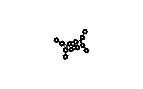 c1ccc(-c2ccc(N(c3ccc(-c4ccccc4)cc3)c3ccc4c(c3)C3(c5ccccc5-c5ccccc53)c3cc(N(c5ccc(-c6ccccc6)cc5)c5ccc(-c6ccccc6)cc5)ccc3-4)cc2)cc1